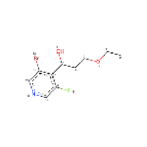 CCOCCC(O)c1c(F)cncc1Br